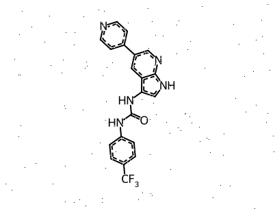 O=C(Nc1ccc(C(F)(F)F)cc1)Nc1c[nH]c2ncc(-c3ccncc3)cc12